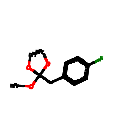 CCCO[Si](Cc1ccc(F)cc1)(OCCC)OCCC